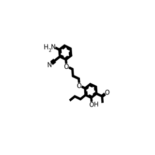 CCCc1c(OCCCOc2cccc(N)c2C#N)ccc(C(C)=O)c1O